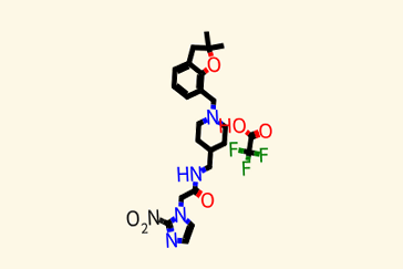 CC1(C)Cc2cccc(CN3CCC(CNC(=O)Cn4ccnc4[N+](=O)[O-])CC3)c2O1.O=C(O)C(F)(F)F